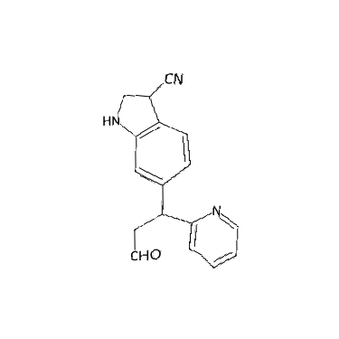 N#CC1CNc2cc(C(CC=O)c3ccccn3)ccc21